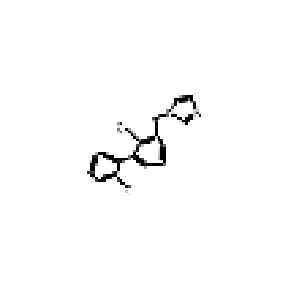 Clc1ccccc1-c1cccc(Cn2ccnc2)c1Cl